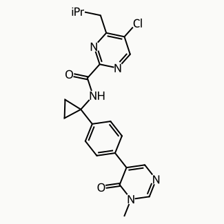 CC(C)Cc1nc(C(=O)NC2(c3ccc(-c4cncn(C)c4=O)cc3)CC2)ncc1Cl